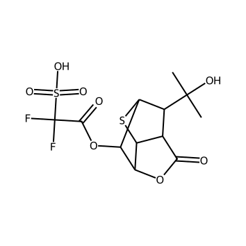 CC(C)(O)C1C2SC3C(OC(=O)C31)C2OC(=O)C(F)(F)S(=O)(=O)O